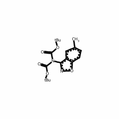 Cc1ccc2onc(N(C(=O)OC(C)(C)C)C(=O)OC(C)(C)C)c2c1